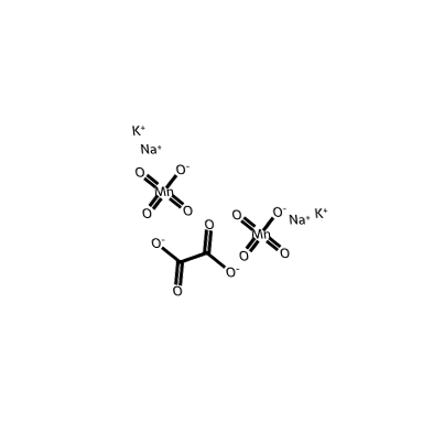 O=C([O-])C(=O)[O-].[K+].[K+].[Na+].[Na+].[O]=[Mn](=[O])(=[O])[O-].[O]=[Mn](=[O])(=[O])[O-]